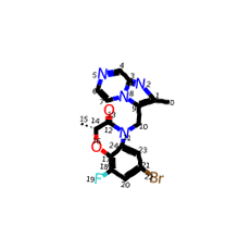 Cc1nc2cnccn2c1CN1C(=O)[C@@H](C)Oc2c(F)cc(Br)cc21